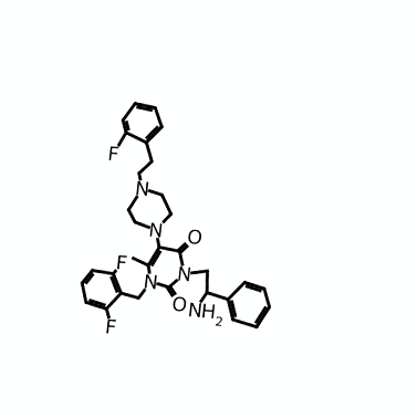 Cc1c(N2CCN(CCc3ccccc3F)CC2)c(=O)n(CC(N)c2ccccc2)c(=O)n1Cc1c(F)cccc1F